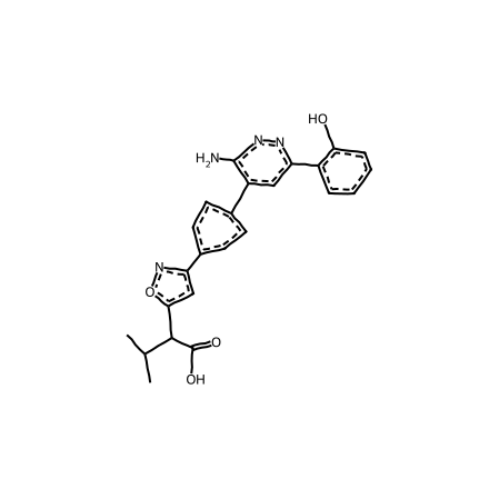 CC(C)C(C(=O)O)c1cc(-c2ccc(-c3cc(-c4ccccc4O)nnc3N)cc2)no1